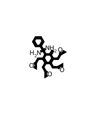 C=C1C(CC2CO2)=C(CC2CO2)C(CC2CO2)=C(CC2CO2)C1C(N)(N)c1ccccc1